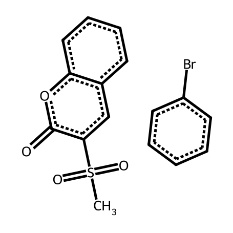 Brc1ccccc1.CS(=O)(=O)c1cc2ccccc2oc1=O